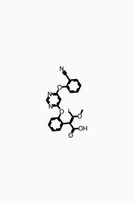 COC(I)=C(C(=O)O)c1ccccc1Oc1cc(Oc2ccccc2C#N)ncn1